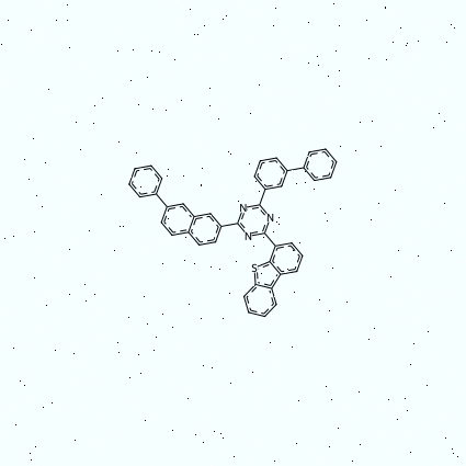 c1ccc(-c2cccc(-c3nc(-c4ccc5ccc(-c6ccccc6)cc5c4)nc(-c4cccc5c4sc4ccccc45)n3)c2)cc1